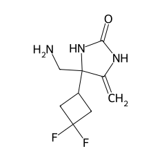 C=C1NC(=O)NC1(CN)C1CC(F)(F)C1